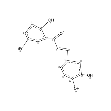 CC(C)c1ccc(O)c(C(=O)C=Cc2ccc(O)c(O)c2)c1